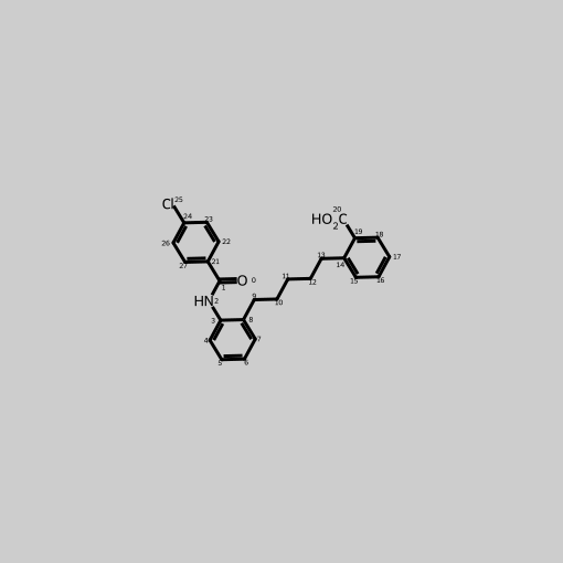 O=C(Nc1ccccc1CCCCCc1ccccc1C(=O)O)c1ccc(Cl)cc1